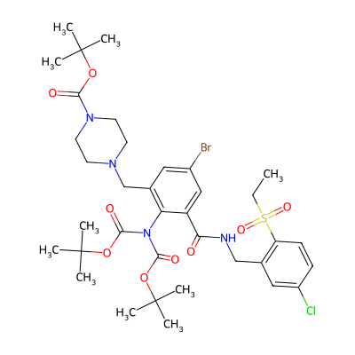 CCS(=O)(=O)c1ccc(Cl)cc1CNC(=O)c1cc(Br)cc(CN2CCN(C(=O)OC(C)(C)C)CC2)c1N(C(=O)OC(C)(C)C)C(=O)OC(C)(C)C